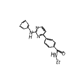 CCNC(=O)c1ccc(-c2ccnc(Nc3ccccc3)n2)cc1